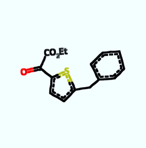 CCOC(=O)C(=O)c1ccc(Cc2ccccc2)s1